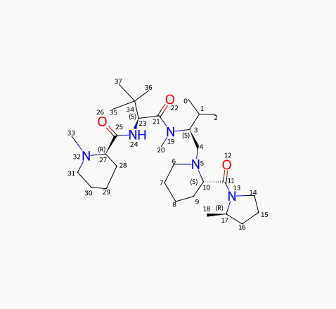 CC(C)[C@@H](CN1CCCC[C@H]1C(=O)N1CCC[C@H]1C)N(C)C(=O)[C@@H](NC(=O)[C@H]1CCCCN1C)C(C)(C)C